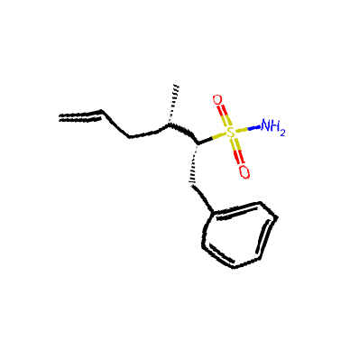 C=CC[C@H](C)[C@@H](Cc1ccccc1)S(N)(=O)=O